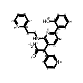 NC(=O)C(c1cccnc1)c1ccc(-c2ccccc2O)nc1NCCc1ccccn1